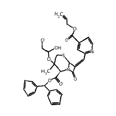 C=CCOC(=O)c1ccnc(/C=C2/C(=O)N3C2SCC(C)(OC(O)CCl)[C@@H]3C(=O)OC(c2ccccc2)c2ccccc2)c1